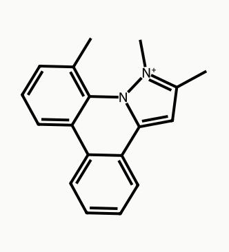 Cc1cccc2c3ccccc3c3cc(C)[n+](C)n3c12